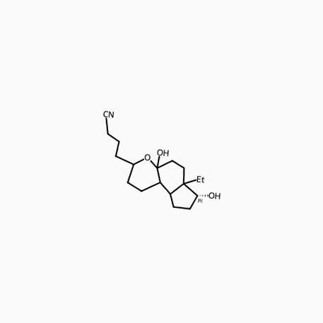 CCC12CCC3(O)OC(CCCC#N)CCC3C1CC[C@H]2O